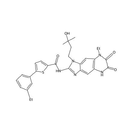 CCc1cccc(-c2ccc(C(=O)Nc3nc4cc5[nH]c(=O)c(=O)n(CC)c5cc4n3CCC(C)(C)O)s2)c1